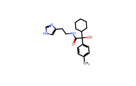 Cc1ccc(C(O)(C(=O)NCCc2c[nH]cn2)C2CCCCC2)cc1